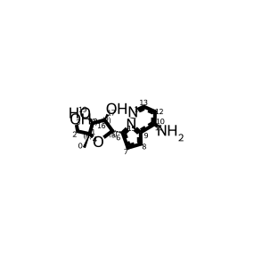 C[C@]1(CO)O[C@@H](c2ccc3c(N)ccnn23)[C@H](O)[C@@H]1O